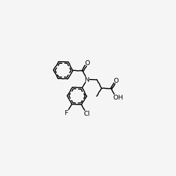 CC(CN(C(=O)c1ccccc1)c1ccc(F)c(Cl)c1)C(=O)O